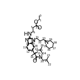 CCOC(=O)CCNc1nc2ccc(C(C)(C)C(=O)N(CC(C)C)CC(C)C)cc2n1CCCN1CCCCC1